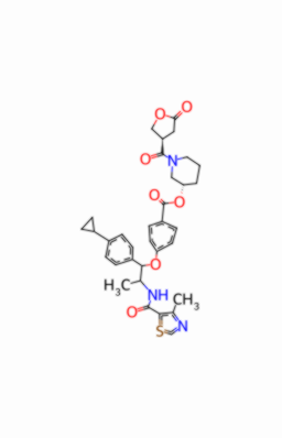 Cc1ncsc1C(=O)NC(C)C(Oc1ccc(C(=O)O[C@H]2CCCN(C(=O)[C@H]3COC(=O)C3)C2)cc1)c1ccc(C2CC2)cc1